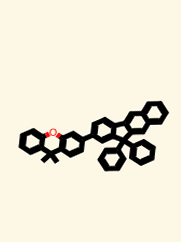 CC1(C)c2ccccc2Oc2cc(-c3ccc4c(c3)C(c3ccccc3)(c3ccccc3)c3cc5ccccc5cc3-4)ccc21